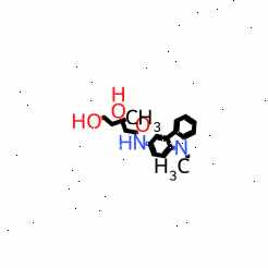 CCn1c2ccccc2c2cc(NC(=O)CC(C)(O)CCO)ccc21